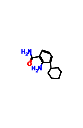 NC(=O)c1cccc(C2CCCCC2)c1N